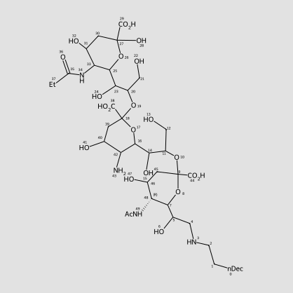 CCCCCCCCCCCCNCC(O)C1OC(OC(CO)C(O)C2OC(OC(CO)C(O)C3OC(O)(C(=O)O)CC(O)C3NC(=O)CC)(C(=O)O)CC(O)C2N)(C(=O)O)CC(O)[C@H]1NC(C)=O